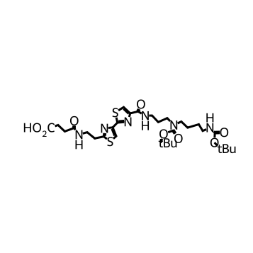 CC(C)(C)OC(=O)NCCCCN(CCCNC(=O)c1csc(-c2csc(CCNC(=O)CCC(=O)O)n2)n1)C(=O)OC(C)(C)C